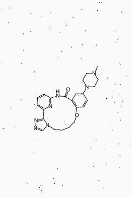 CN1CCN(c2ccc3c(c2)C(=O)Nc2cccc(n2)-c2nncn2CCCCO3)CC1